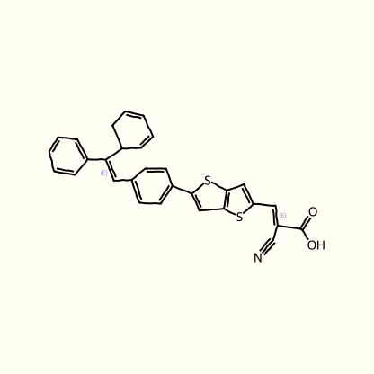 N#C/C(=C\c1cc2sc(-c3ccc(/C=C(/c4ccccc4)C4C=CC=CC4)cc3)cc2s1)C(=O)O